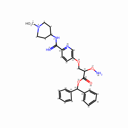 N=C(NC1CCN(C(=O)O)CC1)c1ccc(OCC(ON)C(=O)OC(c2ccccc2)c2ccccc2)cn1